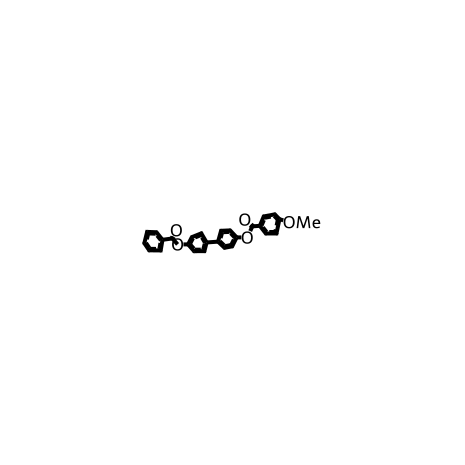 COc1ccc(C(=O)Oc2ccc(-c3ccc(OC(=O)c4ccccc4)cc3)cc2)cc1